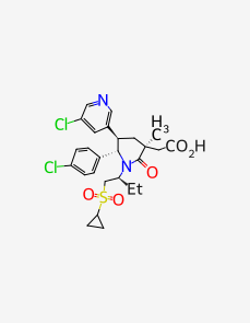 CC[C@@H](CS(=O)(=O)C1CC1)N1C(=O)[C@](C)(CC(=O)O)C[C@H](c2cncc(Cl)c2)[C@H]1c1ccc(Cl)cc1